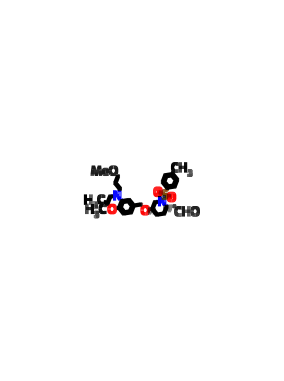 COCCCN1CC(C)(C)Oc2ccc(CO[C@@H]3CC[C@@H](CC=O)N(S(=O)(=O)c4ccc(C)cc4)C3)cc21